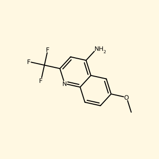 COc1ccc2nc(C(F)(F)F)cc(N)c2c1